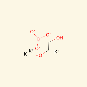 OCCO.[K+].[K+].[K+].[O-]B([O-])[O-]